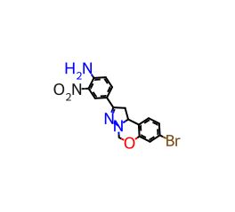 Nc1ccc(C2=NN3COc4cc(Br)ccc4C3C2)cc1[N+](=O)[O-]